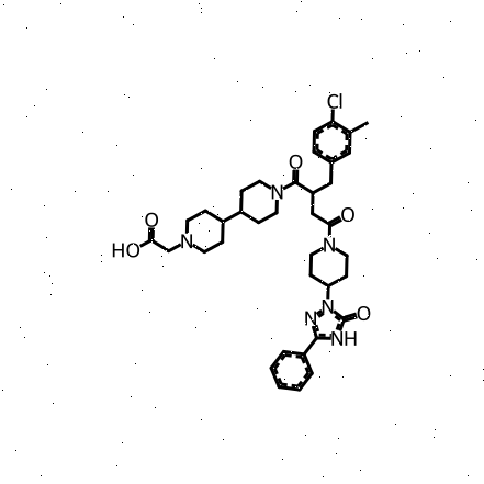 Cc1cc(CC(CC(=O)N2CCC(n3nc(-c4ccccc4)[nH]c3=O)CC2)C(=O)N2CCC(C3CCN(CC(=O)O)CC3)CC2)ccc1Cl